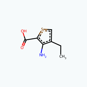 CCc1csc(C(=O)O)c1N